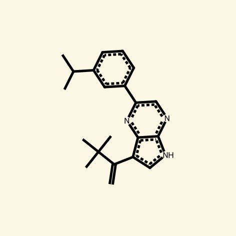 C=C(c1c[nH]c2ncc(-c3cccc(C(C)C)c3)nc12)C(C)(C)C